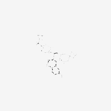 O=C(c1cnc2ccc(F)cc2c1N1CCC2(CC1)COC2)N1CCN(C(=O)C2CC2)CC1